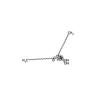 CCCCCCCCCCCCCCCCCCCCC(=O)OC[C@H](COP(=O)(O)OC[C@@H](O)CO)OC(=O)CCCCCCCCCCCCCCCCCCC